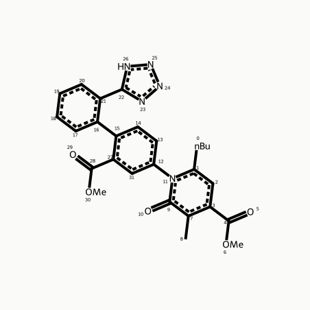 CCCCc1cc(C(=O)OC)c(C)c(=O)n1-c1ccc(-c2ccccc2-c2nnn[nH]2)c(C(=O)OC)c1